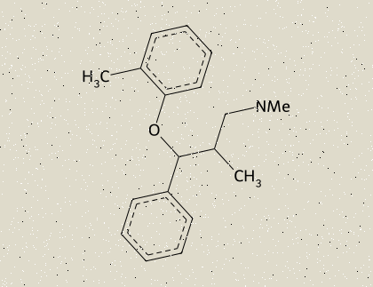 CNCC(C)C(Oc1ccccc1C)c1ccccc1